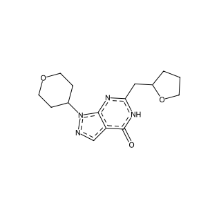 O=c1[nH]c(CC2CCCO2)nc2c1cnn2C1CCOCC1